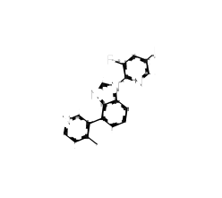 Cc1ccncc1-c1cccc2c1ncn2-c1ncc(F)cc1F